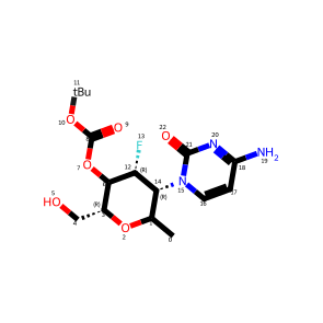 CC1O[C@H](CO)C(OC(=O)OC(C)(C)C)[C@H](F)[C@@H]1n1ccc(N)nc1=O